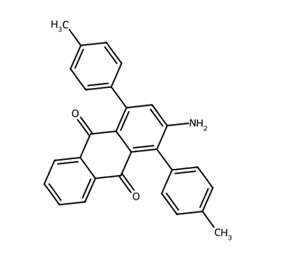 Cc1ccc(-c2cc(N)c(-c3ccc(C)cc3)c3c2C(=O)c2ccccc2C3=O)cc1